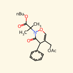 CCCCOC(=O)C(C)(C)N1OC=C(COC(C)=O)C(c2ccccc2)C1=O